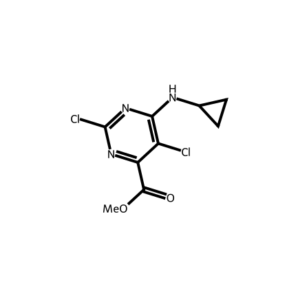 COC(=O)c1nc(Cl)nc(NC2CC2)c1Cl